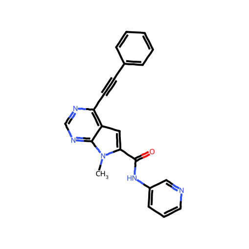 Cn1c(C(=O)Nc2cccnc2)cc2c(C#Cc3ccccc3)ncnc21